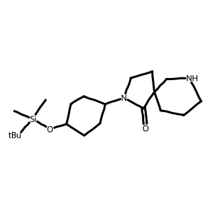 CC(C)(C)[Si](C)(C)OC1CCC(N2CCC3(CCCNC3)C2=O)CC1